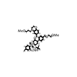 COCCCN1CCOc2ccc(CO[C@H]3CN(S(=O)(=O)c4ccc(C)cc4)[C@@H](CC(C)(C)NC(C)=O)C[C@@H]3c3ccc(COCCOC)cc3)cc21